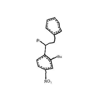 CCC(C)c1cc([N+](=O)[O-])ccc1[C](Cc1ccccc1)C(C)C